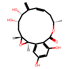 C=C1/C=C\C[C@H](C)OC(=O)c2c(O)cc(O)cc2[C@H]2O[C@@H]2C[C@H](O)[C@@H]1O